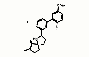 COc1ccc(Cl)c(-c2ccnc([C@H]3CC[C@@]4(CCN(C)C4=O)N3)c2)c1.Cl